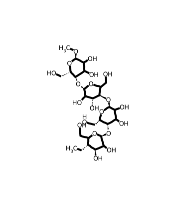 CC[C@@H]1C(CO)O[C@@H](O[C@H]2C(O)C(O)[C@H](O[C@@H]3C(CO)O[C@@H](O[C@H]4C(O)C(O)[C@H](OC)O[C@H]4CO)C(O)[C@H]3O)O[C@H]2CO)C(O)[C@H]1O